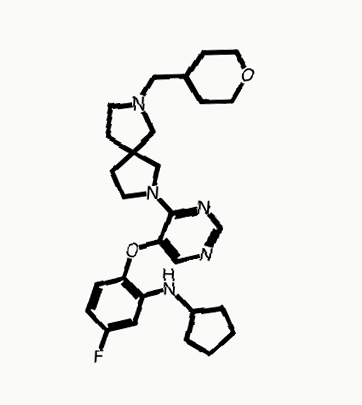 Fc1ccc(Oc2cncnc2N2CCC3(CCN(CC4CCOCC4)C3)C2)c(NC2CCCC2)c1